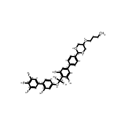 CCCCOC1COC(c2ccc(-c3cc(F)c(C(F)(F)Oc4ccc(-c5cc(F)c(F)c(F)c5)c(F)c4)c(F)c3)cc2)OC1